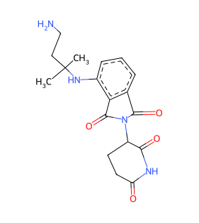 CC(C)(CCN)Nc1cccc2c1C(=O)N(C1CCC(=O)NC1=O)C2=O